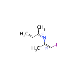 C=C/C(C)=N\C(C)=C/I